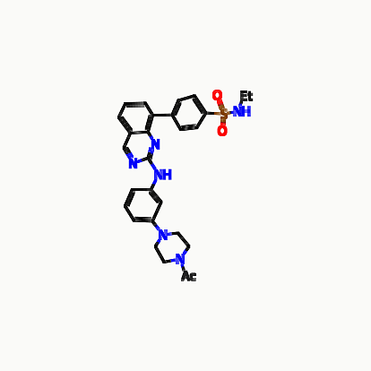 CCNS(=O)(=O)c1ccc(-c2cccc3cnc(Nc4cccc(N5CCN(C(C)=O)CC5)c4)nc23)cc1